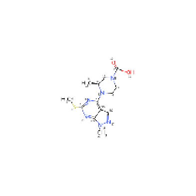 CSc1nc(N2CCN(C(=O)O)C[C@@H]2C)c2cnn(C)c2n1